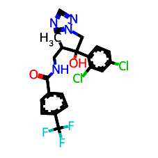 CC(CNC(=O)c1ccc(C(F)(F)F)cc1)C(O)(Cn1cncn1)c1ccc(Cl)cc1Cl